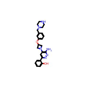 Nc1nnc(-c2ccccc2O)cc1N1CC(Oc2cccc(CN3CCNCC3)c2)C1